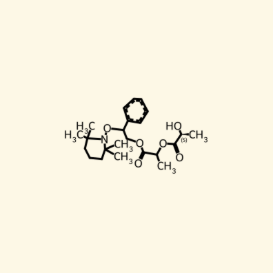 CC(OC(=O)[C@H](C)O)C(=O)OCC(ON1C(C)(C)CCCC1(C)C)c1ccccc1